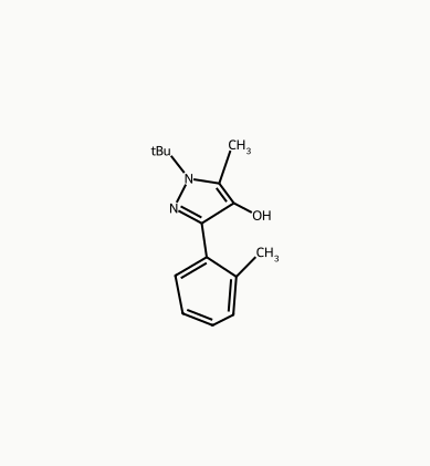 Cc1ccccc1-c1nn(C(C)(C)C)c(C)c1O